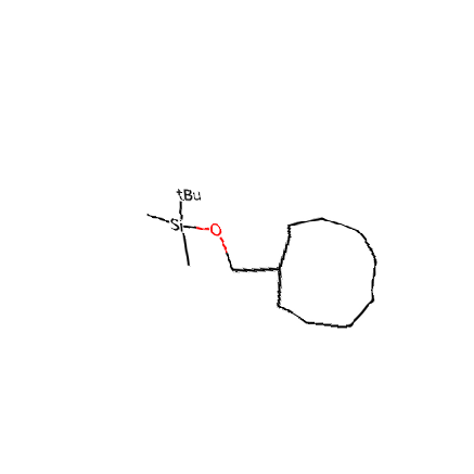 CC(C)(C)[Si](C)(C)OCC1CCCCCCCC1